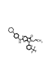 C=CCn1c(=O)c2cnc(Nc3ccc(N4CCCCC4)cc3)nc2n1-c1cccc(C(F)(F)F)n1